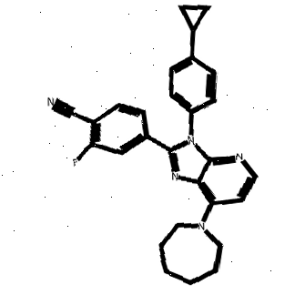 N#Cc1ccc(-c2nc3c(N4CCCCCC4)ccnc3n2-c2ccc(C3CC3)cc2)cc1F